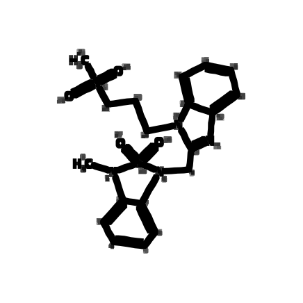 CN1c2ccccc2N(Cc2nc3ccccc3n2CCCS(C)(=O)=O)S1(=O)=O